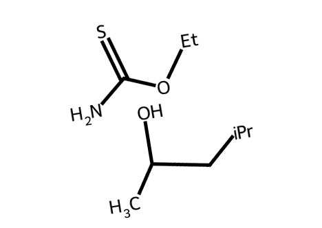 CC(C)CC(C)O.CCOC(N)=S